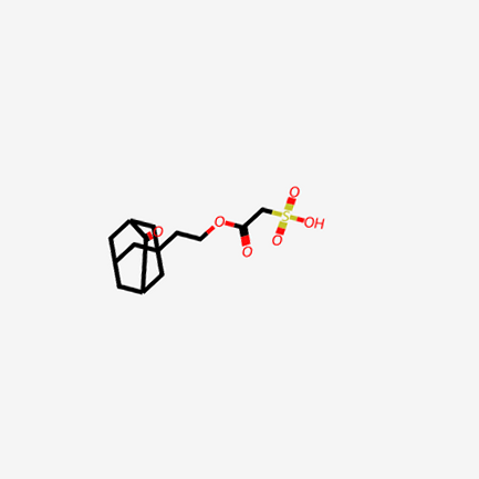 O=C(CS(=O)(=O)O)OCCC12CC3CC(C1)C(=O)C(C3)C2